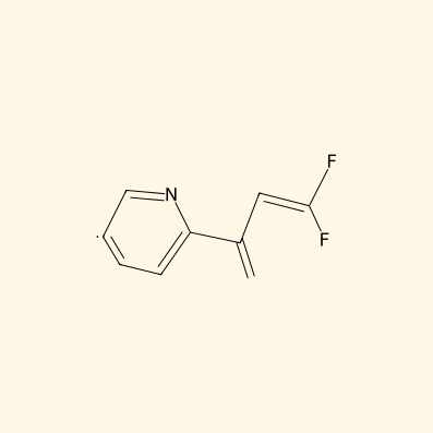 C=C(C=C(F)F)c1cc[c]cn1